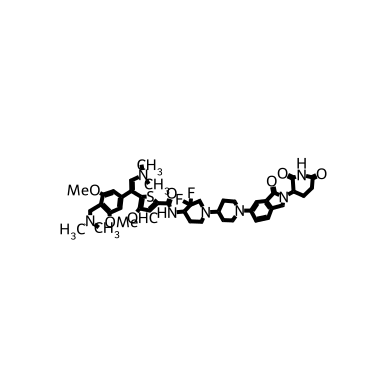 COc1cc(/C(=C/N(C)C)c2sc(C(=O)NC3CCN(C4CCN(c5ccc6c(c5)C(=O)N(C5CCC(=O)NC5=O)C6)CC4)CC3(F)F)cc2C=O)cc(OC)c1CN(C)C